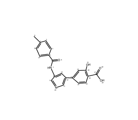 Cc1ccc(C(=O)Nc2cncc(-c3ccc(C(=O)O)c(O)c3)c2)cc1